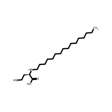 CCCCCCCCCCCCCCCCN[C@H](CCS)C(=O)O